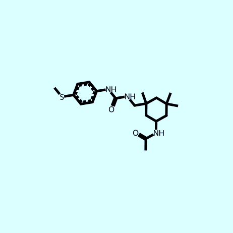 CSc1ccc(NC(=O)NCC2(C)CC(NC(C)=O)CC(C)(C)C2)cc1